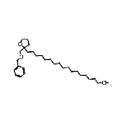 CCCCCCCCCCCCCCCCCCC1(COCc2ccccc2)CCCO1